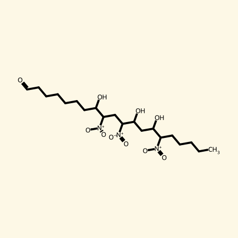 CCCCCC(C(O)CC(O)C(CC(C(O)CCCCCCC=O)[N+](=O)[O-])[N+](=O)[O-])[N+](=O)[O-]